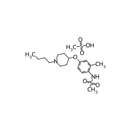 CCCCN1CCC(Oc2ccc(NS(C)(=O)=O)c(C)c2)CC1.CS(=O)(=O)O